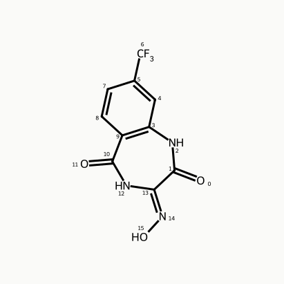 O=c1[nH]c2cc(C(F)(F)F)ccc2c(=O)[nH]c1=NO